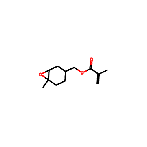 C=C(C)C(=O)OCC1CCC2(C)OC2C1